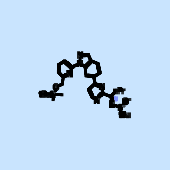 CCC/C(=N\[S+]([O-])C(C)(C)C)c1nccc(-c2ccc3cnn(-c4cccc(CO[Si](C)(C)C(C)(C)C)n4)c3c2)n1